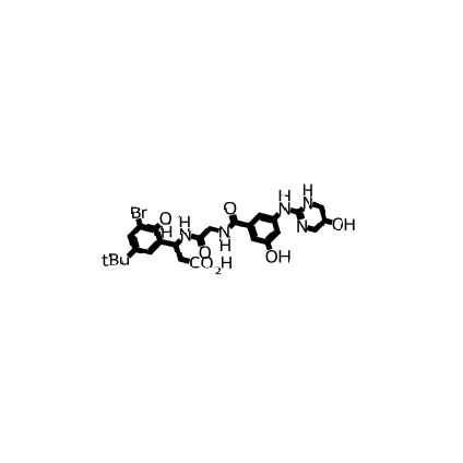 CC(C)(C)c1cc(Br)c(O)c(C(CC(=O)O)NC(=O)CNC(=O)c2cc(O)cc(NC3=NCC(O)CN3)c2)c1